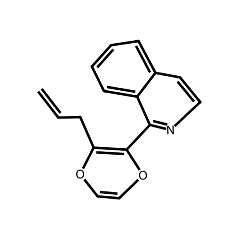 C=CCC1=C(c2nccc3ccccc23)OC=CO1